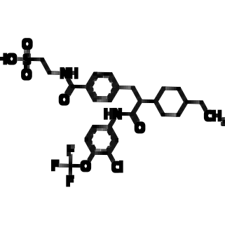 CCC1CCC(C(Cc2ccc(C(=O)NCCS(=O)(=O)O)cc2)C(=O)Nc2ccc(OC(F)(F)F)c(Cl)c2)CC1